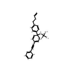 C=CCCc1ccc(C2(OC(F)(F)F)C=CC(C#Cc3ccccc3)=CC2)cc1